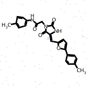 Cc1ccc(NC(=O)CN2C(=O)N/C(=C\c3ccc(-c4ccc(C)cc4)o3)C2=O)cc1